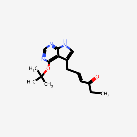 CCC(=O)C=CCc1c[nH]c2ncnc(OC(C)(C)C)c12